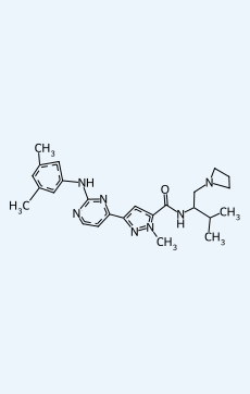 Cc1cc(C)cc(Nc2nccc(-c3cc(C(=O)NC(CN4CCC4)C(C)C)n(C)n3)n2)c1